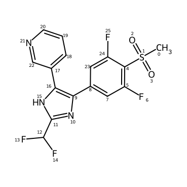 CS(=O)(=O)c1c(F)cc(-c2nc(C(F)F)[nH]c2-c2cccnc2)cc1F